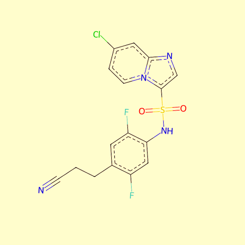 N#CCCc1cc(F)c(NS(=O)(=O)c2cnc3cc(Cl)ccn23)cc1F